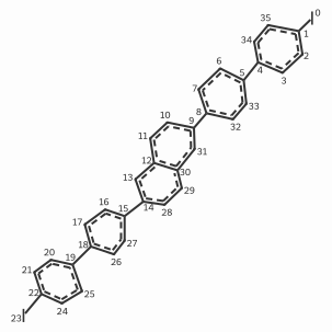 Ic1ccc(-c2ccc(-c3ccc4cc(-c5ccc(-c6ccc(I)cc6)cc5)ccc4c3)cc2)cc1